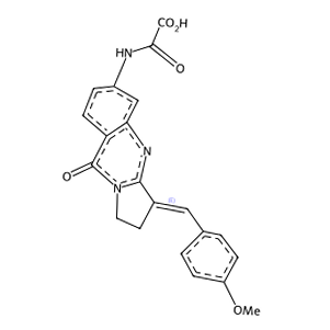 COc1ccc(/C=C2\CCn3c2nc2cc(NC(=O)C(=O)O)ccc2c3=O)cc1